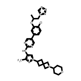 CC(Cn1cnnn1)Oc1cc(-c2cnc(Nc3cn(C4CC5(C4)CN(C4CCOCC4)C5)nc3C(F)(F)F)nc2)ccc1Cl